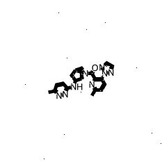 Cc1ccc(NC2CC3CC2N(C(=O)c2nc(C)ccc2-n2nccn2)C3)nn1